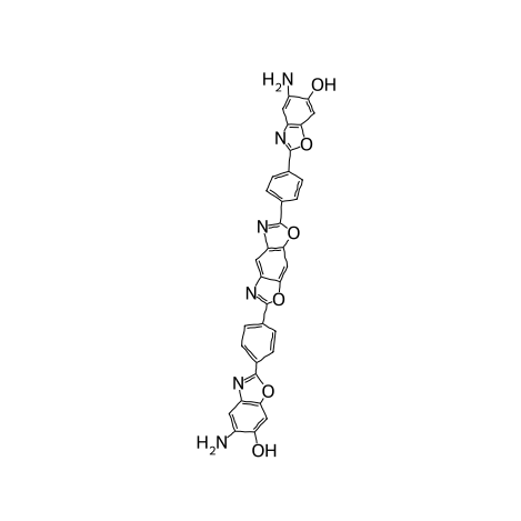 Nc1cc2nc(-c3ccc(-c4nc5cc6nc(-c7ccc(-c8nc9cc(N)c(O)cc9o8)cc7)oc6cc5o4)cc3)oc2cc1O